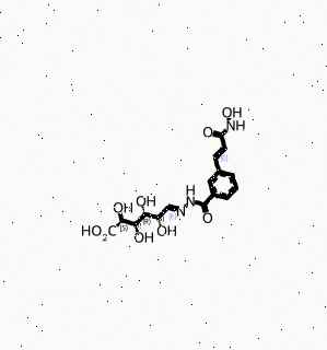 O=C(/C=C/c1cccc(C(=O)N/N=C/[C@H](O)[C@@H](O)[C@@H](O)[C@H](O)C(=O)O)c1)NO